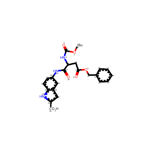 CC(C)(C)OC(=O)NC(CC(=O)OCc1ccccc1)C(=O)Nc1ccc2[nH]c(C(=O)O)cc2c1